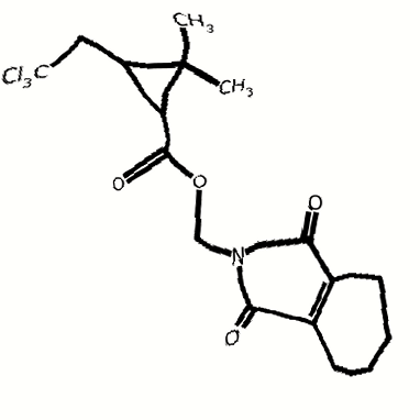 CC1(C)C(CC(Cl)(Cl)Cl)C1C(=O)OCN1C(=O)C2=C(CCCC2)C1=O